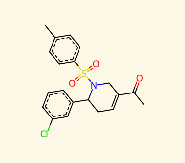 CC(=O)C1=CCC(c2cccc(Cl)c2)N(S(=O)(=O)c2ccc(C)cc2)C1